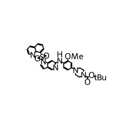 COc1cc(N2CCN(C(=O)OC(C)(C)C)CC2)ccc1Nc1cc2c(ccn2S(=O)(=O)c2cccc3cccnc23)cn1